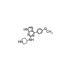 COc1ccc(-c2nc(NC3CCNCC3)nc3[nH]cnc23)cc1